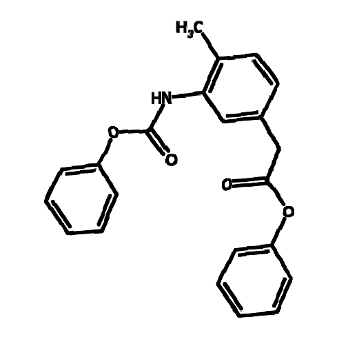 Cc1ccc(CC(=O)Oc2ccccc2)cc1NC(=O)Oc1ccccc1